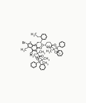 CCc1ccccc1[C@H](Cn1c(=O)n(C(C)(C)C(=O)O[Si](c2ccccc2)(c2ccccc2)C(C)(C)C)c(=O)c2c(C)c(Br)sc21)OC1CCC(O[Si](c2ccccc2)(c2ccccc2)C(C)(C)C)CC1